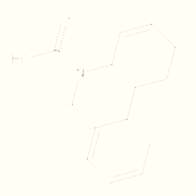 O=C(O)N1Cc2ccccc2C2=C1C=CCC2